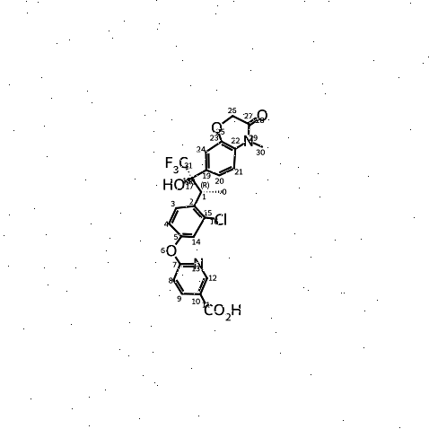 C[C@H](c1ccc(Oc2ccc(C(=O)O)cn2)cc1Cl)[C@@](O)(c1ccc2c(c1)OCC(=O)N2C)C(F)(F)F